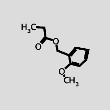 CCC(=O)OCc1ccccc1OC